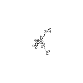 C#CCNC(=O)CCCCCNC(=O)OC(CCN(C)C(=O)CCCCC(=O)OC)c1cc(OC)c(OC)cc1[N+](=O)[O-]